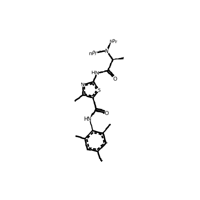 CCCN(CCC)[C@@H](C)C(=O)Nc1nc(C)c(C(=O)Nc2c(C)cc(C)cc2C)s1